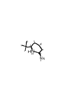 CC(C)(C)C1CCCC(=N)N1